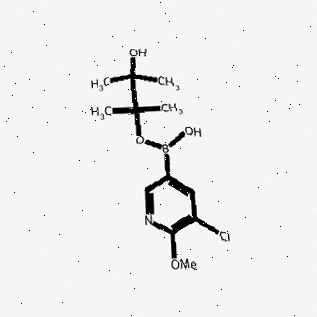 COc1ncc(B(O)OC(C)(C)C(C)(C)O)cc1Cl